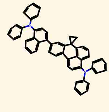 c1ccc(N(c2ccccc2)c2ccc(-c3ccc4c(c3)C3(CC3)c3cccc5c(N(c6ccccc6)c6ccccc6)ccc-4c35)c3ccccc23)cc1